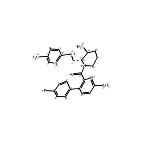 Cc1ccc(-c2ccc(F)cc2)c(C(=O)N2CCCC(C)[C@H]2CNc2ccc(C(F)(F)F)cn2)n1